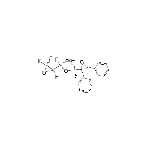 CC(=O)C(F)(OC(F)(F)C1(c2ccccc2)OC1c1ccccc1)C1(F)OC1(F)F